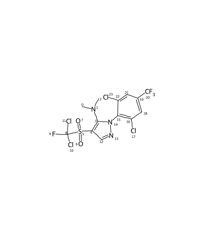 CN(C)c1c(S(=O)(=O)C(F)(Cl)Cl)cnn1-c1c(Cl)cc(C(F)(F)F)cc1Cl